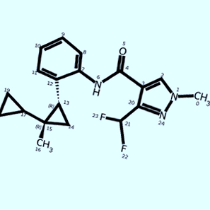 Cn1cc(C(=O)Nc2ccccc2[C@@H]2C[C@]2(C)C2CC2)c(C(F)F)n1